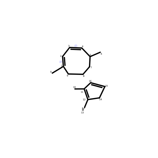 C/C1=C/C=C\C(C)CCC1.CC1=[C]([Ir])CC=C1